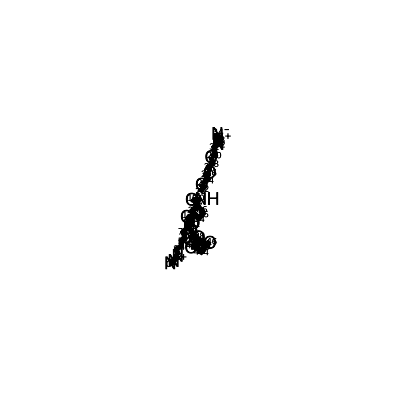 [N-]=[N+]=NCCCCCC(CS(=O)(=O)c1cccc(C(=O)NCCOCCOCCOCCN=[N+]=[N-])c1)OC(=O)ON1C(=O)CCC1=O